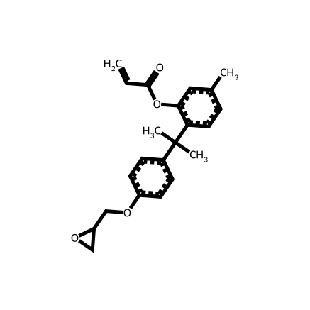 C=CC(=O)Oc1cc(C)ccc1C(C)(C)c1ccc(OCC2CO2)cc1